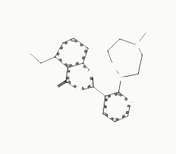 CCc1cccc2nc(-c3cccnc3N3CCCN(C)CC3)oc(=O)c12